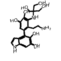 NCCc1c(-c2c(O)c(O)cc3[nH]ccc23)cc(O)c(O)c1NC(CO)(CO)CO